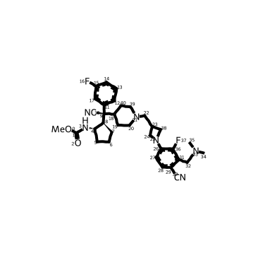 COC(=O)N[C@H]1CCC[C@@H]1[C@](C#N)(c1cccc(F)c1)C1CCN(CC2CN(c3ccc(C#N)c(CN(C)C)c3F)C2)CC1